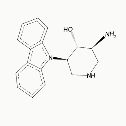 N[C@H]1CNC[C@@H](n2c3ccccc3c3ccccc32)[C@@H]1O